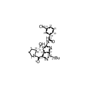 CC(C)(C)n1nc(C(=O)N2CCC[C@@H]2CO)c2sc(NC(=O)c3cccc(Cl)c3)nc21